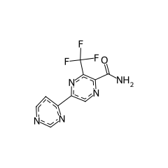 NC(=O)c1ncc(-c2ccncn2)nc1C(F)(F)F